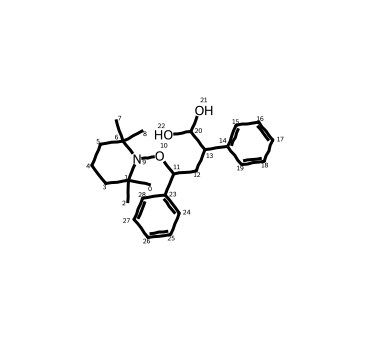 CC1(C)CCCC(C)(C)N1OC(CC(c1ccccc1)C(O)O)c1ccccc1